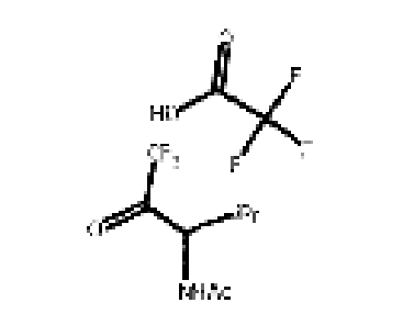 CC(=O)NC(C(=O)C(F)(F)F)C(C)C.O=C(O)C(F)(F)F